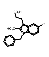 O=C(O)CCc1c(C(=O)O)n(Cc2ccccc2)c2ccc(Cl)cc12